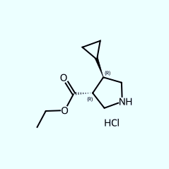 CCOC(=O)[C@H]1CNC[C@@H]1C1CC1.Cl